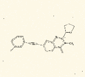 Cn1c(C2CCCO2)nc2cc(C#Cc3cccc(F)c3)ccc2c1=O